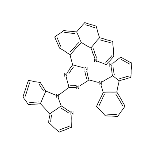 c1cnc2c(c1)ccc1cccc(-c3nc(-n4c5ccccc5c5cccnc54)nc(-n4c5ccccc5c5cccnc54)n3)c12